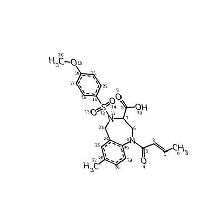 CC=CC(=O)N1CC(C(=O)O)N(S(=O)(=O)c2ccc(OC)cc2)Cc2cc(C)ccc21